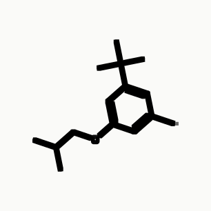 [CH2]c1cc(OCC(C)C)cc(C(C)(C)C)c1